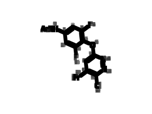 CC(=O)Nc1cc(F)c(Oc2cc(C(C)C)c(Cl)nn2)c(F)c1